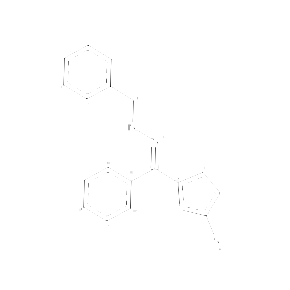 O=[N+]([O-])c1ccc(C(=NNCc2ccccc2)c2ccccc2)o1